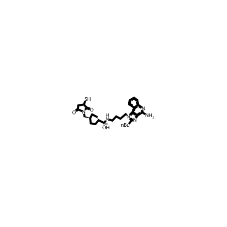 CCCCc1nc2c(N)nc3ccccc3c2n1CCCCN[C@H](O)[C@H]1CC[C@H](CN2C(=O)CC(S)C2=O)CC1